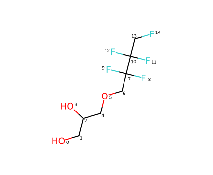 OCC(O)COCC(F)(F)C(F)(F)CF